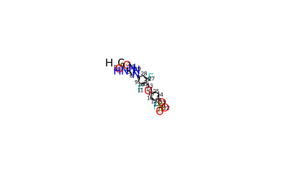 CS(=O)(=O)Nc1cn(-c2cc(F)c(COc3ccc(OS(=O)(=O)F)cc3)c(F)c2)nn1